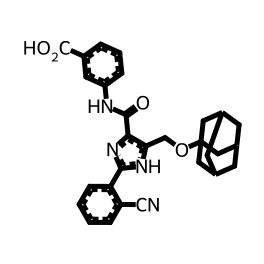 N#Cc1ccccc1-c1nc(C(=O)Nc2cccc(C(=O)O)c2)c(COC23CC4CC(CC(C4)C2)C3)[nH]1